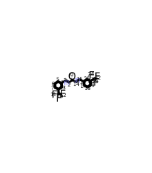 O=C(/C=C/c1cccc(C(F)(F)F)c1)/C=C/c1cccc(C(F)(F)F)c1